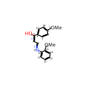 COc1ccc(/C(O)=C\C=N\c2ccccc2OC)cc1